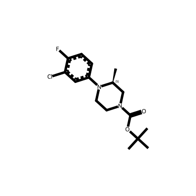 C[C@H]1CN(C(=O)OC(C)(C)C)CCN1c1ccc(F)c(Cl)c1